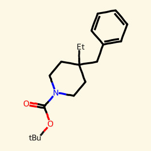 CCC1(Cc2ccccc2)CCN(C(=O)OC(C)(C)C)CC1